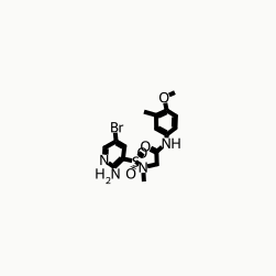 COc1ccc(NC(=O)CN(C)S(=O)(=O)c2cc(Br)cnc2N)cc1C